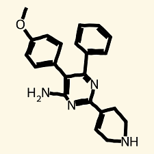 COc1ccc(-c2c(N)nc(C3=CCNCC3)nc2-c2ccccc2)cc1